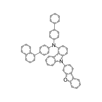 c1ccc(-c2ccc(N(c3ccc(-c4cccc5ccccc45)cc3)c3cccc4c3c3ccccc3n4-c3ccc4c(c3)oc3ccccc34)cc2)cc1